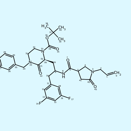 C=CCN1CC(C(=O)NC(Cc2cc(F)cc(F)c2)C[C@H]2C(=O)N(Cc3ccccc3)CCN2C(=O)OC(C)(C)C)CC1=O